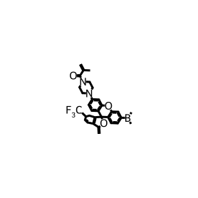 C=C(C)C(=O)N1CCN(c2ccc3c(c2)Oc2cc(B(C)C)ccc2C32OC(=C)C3=C2CC(C(F)(F)F)C=C3)CC1